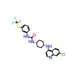 O=C(Nc1cccc(SC(F)(F)F)c1)N[C@H]1CC[C@@H](Nc2ccnc3cc(Cl)ccc23)CC1